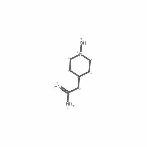 N=C(N)CC1CCN(O)CC1